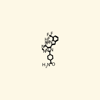 NC(=O)C1CCC(c2nc(-c3cc4cccc(C(F)(F)F)c4[nH]3)c3c(N)ncnn23)CC1